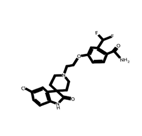 NC(=O)c1ccc(OCCN2CCC3(CC2)C(=O)Nc2ccc(Cl)cc23)cc1C(F)F